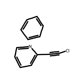 ClC#Cc1ccccn1.c1ccccc1